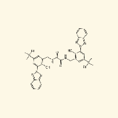 CCC(C)(C)c1cc(CNC(=O)C(=O)NCc2cc(C(C)(C)CC)cc(-n3nc4ccccc4n3)c2O)c(O)c(-n2nc3ccccc3n2)c1